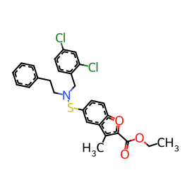 CCOC(=O)c1oc2ccc(SN(CCc3ccccc3)Cc3ccc(Cl)cc3Cl)cc2c1C